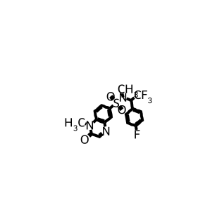 CN(C(c1ccc(F)cc1)C(F)(F)F)S(=O)(=O)c1ccc2c(c1)ncc(=O)n2C